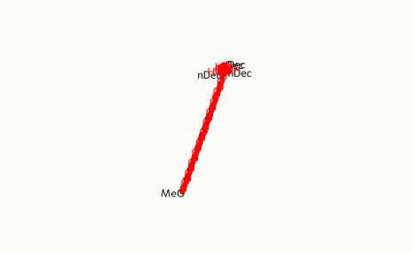 CCCCCCCCCCCCC(CCCCCCCCCCCC)(N(CCOCCOCCOCCOCCOCCOCCOCCOCCOCCOCCOCCOCCOCCOCCOCCOCCOCCOCCOCCOCCOCCOCCOCCOC)C(CCCCCCCCCCCC)(CCCCCCCCCCCC)P(=O)(O)O)P(=O)(O)O